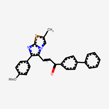 COc1ccc(-c2nc3sc(C)cn3c2/C=C/C(=O)c2ccc(-c3ccccc3)cc2)cc1